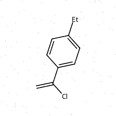 C=C(Cl)c1ccc(CC)cc1